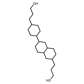 OCCCC1CCC(C2CCC3CC(CCCO)CCC3C2)CC1